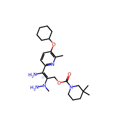 Cc1nc(/C(N)=C(\COC(=O)N2CCCC(C)(C)C2)N(C)N)ccc1OC1CCCCC1